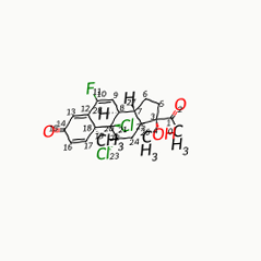 CC(=O)[C@@]1(O)CC[C@H]2[C@@H]3C=C(F)C4=CC(=O)C=C[C@]4(C)[C@@]3(Cl)[C@@H](Cl)C[C@@]21C